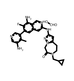 Cc1c(N)cncc1-c1cc2cc(Nc3cc4n(n3)CC(=O)N(CC3CC3)CC4)ncc2c(N)c1F.O=CO